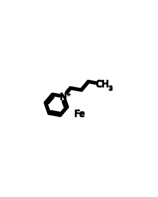 CCCC[n+]1ccccc1.[Fe]